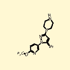 CC(C)c1cc(N2CCNCC2)nn1-c1ccc(OC(F)(F)F)nc1